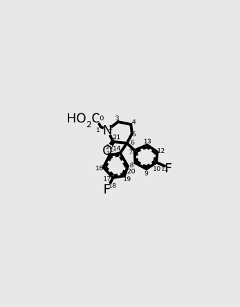 O=C(O)CN1CCCC(c2ccc(F)cc2)(c2ccc(F)cc2)C1=O